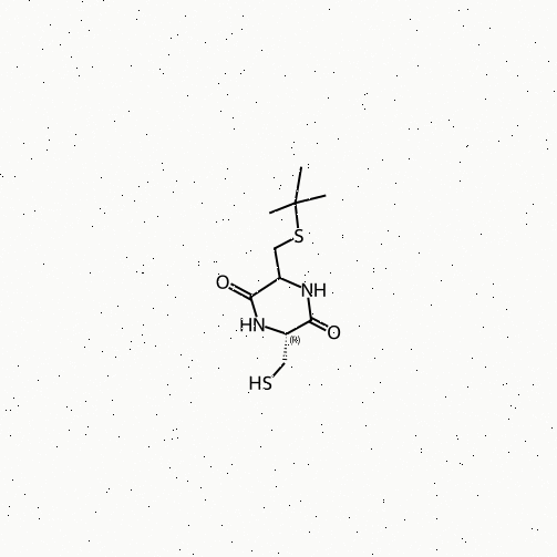 CC(C)(C)SCC1NC(=O)[C@H](CS)NC1=O